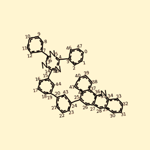 c1ccc(-c2nc(-c3ccccc3)nc(-c3cccc(-c4cccc(-c5cc6cc7ccccc7nc6c6ccccc56)c4)c3)n2)cc1